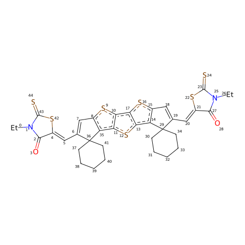 CCN1C(=O)/C(=C/C2=Cc3sc4c(sc5c6c(sc54)C=C(/C=C4\SC(=S)N(CC)C4=O)C64CCCCC4)c3C23CCCCC3)SC1=S